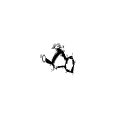 O=C1N=c2ccccc2=C1Br